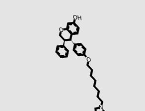 Oc1ccc2c(c1)OC[C@H](c1ccccc1)[C@H]2c1ccc(OCCCCCCCCN2CCCC2)cc1